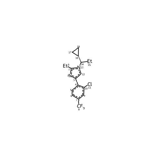 CCc1nc(-c2ccc(C(F)(F)F)cc2Cl)cn1C(CC)C1CC1